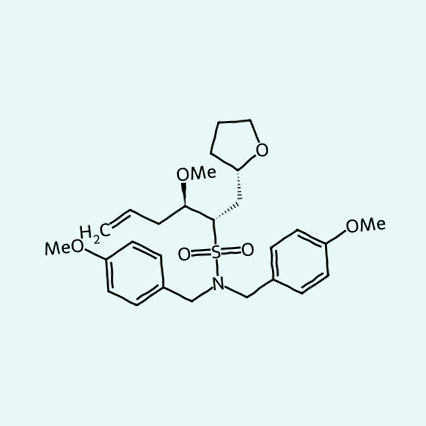 C=CC[C@@H](OC)[C@H](C[C@@H]1CCCO1)S(=O)(=O)N(Cc1ccc(OC)cc1)Cc1ccc(OC)cc1